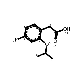 CC(C)Oc1cc(F)ccc1CC(=O)O